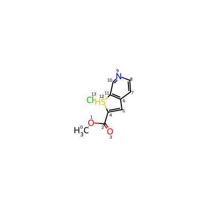 COC(=O)C1=Cc2ccncc2[SH]1Cl